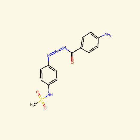 CS(=O)(=O)Nc1ccc(N=[N+]=NC(=O)c2ccc(N)cc2)cc1